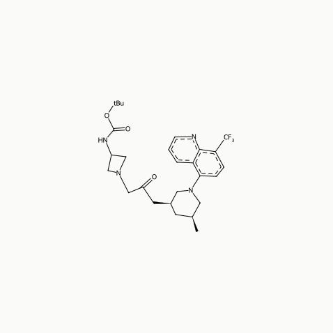 C[C@H]1C[C@@H](CC(=O)CN2CC(NC(=O)OC(C)(C)C)C2)CN(c2ccc(C(F)(F)F)c3ncccc23)C1